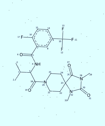 CC(C)C(NC(=O)c1cc(C(F)(F)F)ccc1F)C(=O)N1CCC2(CC1)C(=O)N(C)C(=O)N2C